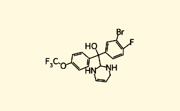 OC(c1ccc(OC(F)(F)F)cc1)(c1ccc(F)c(Br)c1)C1NC=CCN1